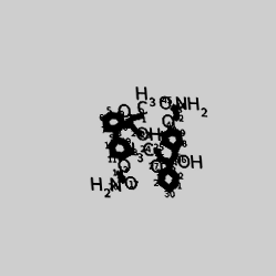 CCc1oc2cccc(-c3ccc(OCC(N)=O)cc3)c2c1CO.CCc1oc2ccccc2c1C(O)c1ccc(OCC(N)=O)cc1